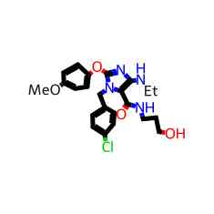 CCNc1nc(Oc2ccc(OC)cc2)n(Cc2ccc(Cl)cc2)c1C(=O)NCCCO